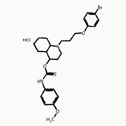 COc1ccc(NC(=S)OC2CCN(CCCOc3ccc(Br)cc3)C3CCCCC23)cc1.Cl